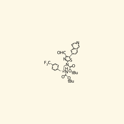 CC(C)(C)OC(=O)N[C@H](Cc1ccc(C(F)(F)F)cc1)CN(C(=O)OC(C)(C)C)c1nc(C=O)c(-c2ccc3cnccc3c2)s1